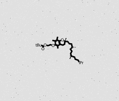 Cc1c(C)c2c(c(C)c1OCCOC(=O)C(C)(C)C)CC[C@@](C)(CCC[C@H](C)CCC[C@H](C)CCCC(C)C)O2